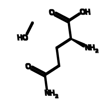 CO.NC(=O)CC[C@H](N)C(=O)O